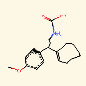 COc1ccc(C(CNC(=O)O)C2=CCCCC2)cc1